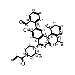 C=CC(=O)N1CCN(c2nc(=O)n(C3=C(C(C)C)N=CCC3C)c3cc(-c4ccccc4C=O)c(Cl)cc23)[C@@H](C)C1